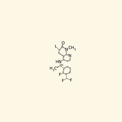 C[C@@H](Nc1ccnc2c1cc(I)c(=O)n2C)c1cccc(C(F)F)c1F